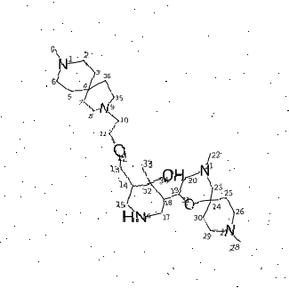 CN1CCC2(CC1)CCN(CCOCC1CNCC(C3CN(C)CC4(CCN(C)CC4)O3)C1(C)O)CC2